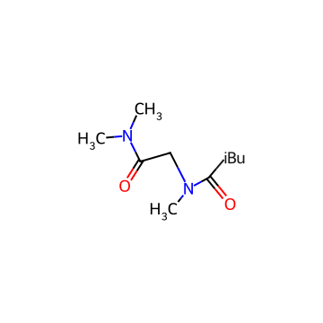 CCC(C)C(=O)N(C)CC(=O)N(C)C